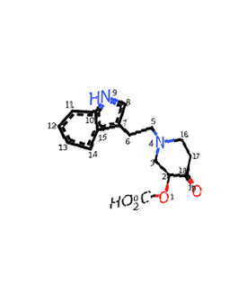 O=C(O)OC1CN(CCc2c[nH]c3ccccc23)CCC1=O